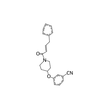 N#Cc1cccc(OC2CCN(C(=O)/C=C/Cc3ccccc3)CC2)c1